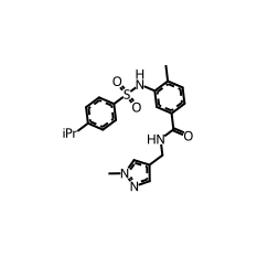 Cc1ccc(C(=O)NCc2cnn(C)c2)cc1NS(=O)(=O)c1ccc(C(C)C)cc1